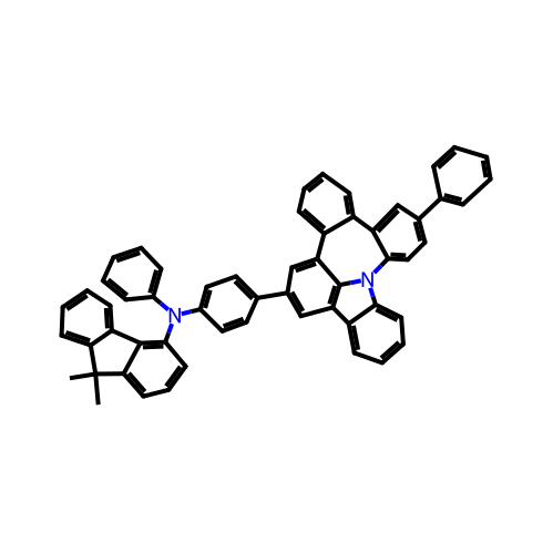 CC1(C)c2ccccc2-c2c(N(c3ccccc3)c3ccc(-c4cc5c6c(c4)c4ccccc4n6-c4ccc(-c6ccccc6)cc4-c4ccccc4-5)cc3)cccc21